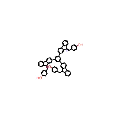 Oc1ccc(/C=C2\c3ccccc3-c3ccc(-c4cc(-c5ccc6c(c5)/C(=C/c5ccc(O)cc5)c5ccccc5-6)cc(-c5ccc6c(c5)C(Cc5ccc(O)cc5)c5ccccc5-6)c4)cc32)cc1